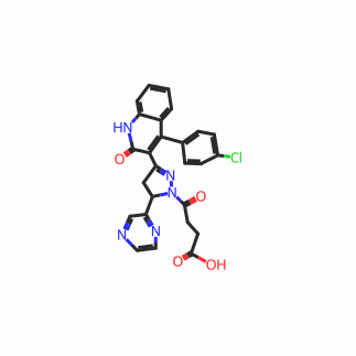 O=C(O)CCC(=O)N1N=C(c2c(-c3ccc(Cl)cc3)c3ccccc3[nH]c2=O)CC1c1cnccn1